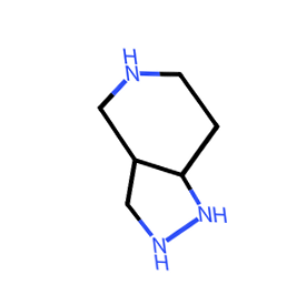 C1CC2NNCC2CN1